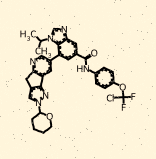 CC(C)n1cnc2cc(C(=O)Nc3ccc(OC(F)(F)Cl)cc3)cc(-c3cnc4c(c3)-c3nn(C5CCCCO5)cc3C4)c21